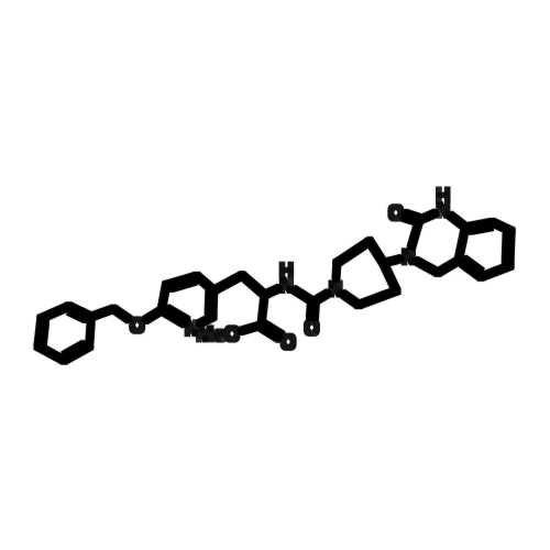 COC(=O)C(Cc1ccc(OCc2ccccc2)nc1)NC(=O)N1CCC(N2Cc3ccccc3NC2=O)CC1